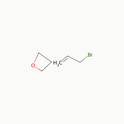 C1COC1.C=CCBr